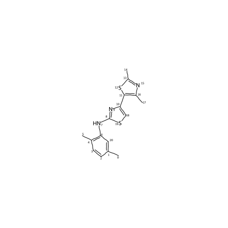 Cc1ccc(C)c(Nc2nc(-c3sc(C)nc3C)cs2)c1